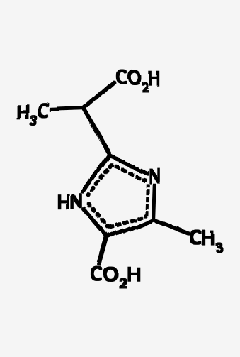 Cc1nc(C(C)C(=O)O)[nH]c1C(=O)O